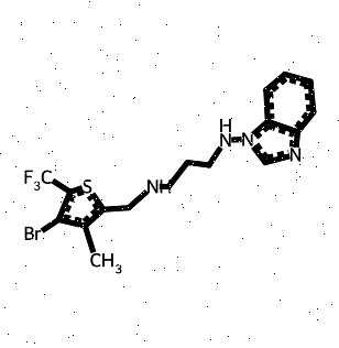 Cc1c(CNCCCNn2cnc3ccccc32)sc(C(F)(F)F)c1Br